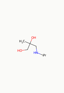 CC(C)NCC(C)(O)CO